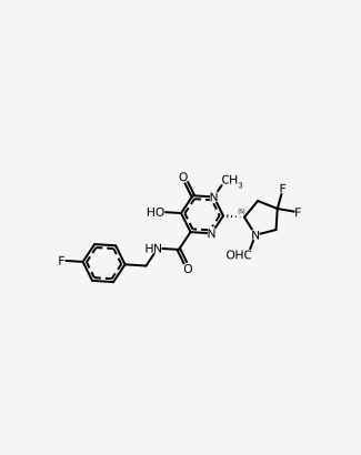 Cn1c([C@@H]2CC(F)(F)CN2C=O)nc(C(=O)NCc2ccc(F)cc2)c(O)c1=O